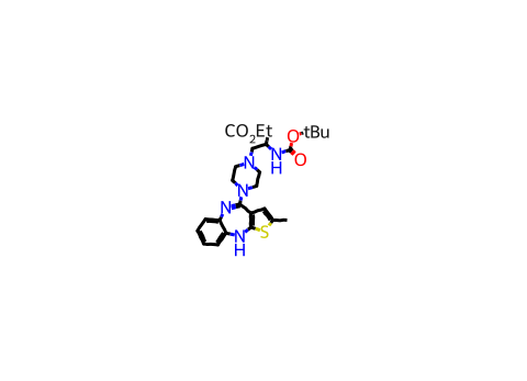 CCOC(=O)C(CN1CCN(C2=Nc3ccccc3Nc3sc(C)cc32)CC1)NC(=O)OC(C)(C)C